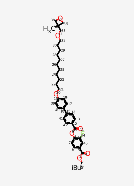 CC[C@@H](C)COC(=O)c1ccc(OC(=O)c2ccc(-c3ccc(OCCCCCCCCCCCOCC4(C)COC4)cc3)cc2)c(F)c1